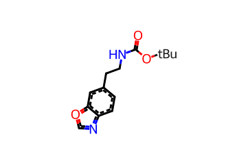 CC(C)(C)OC(=O)NCCc1ccc2ncoc2c1